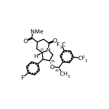 CNC(=O)C1CC(=O)N2C[C@H](O[C@H](C)c3cc(C(F)(F)F)cc(C(F)(F)F)c3)C(c3ccc(F)cc3)[C@@H]2C1